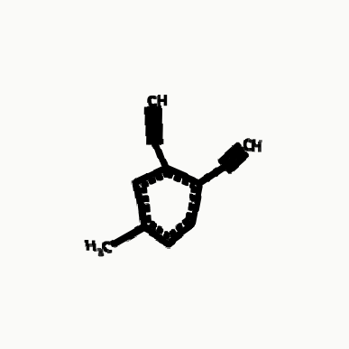 C#Cc1ccc(C)cc1C#C